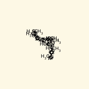 Cc1ncsc1-c1ccc(C(C)NC(=O)[C@@H]2C[C@@H](O)CN2C(=O)C(c2cc(N3CCN(CC4CCN(C(=O)OC(C)(C)C)CC4)CC3)no2)C(C)C)cc1